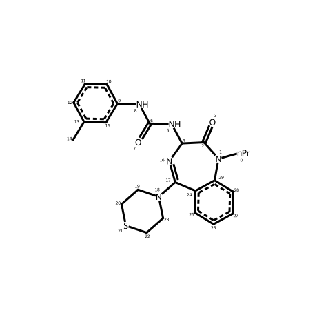 CCCN1C(=O)C(NC(=O)Nc2cccc(C)c2)N=C(N2CCSCC2)c2ccccc21